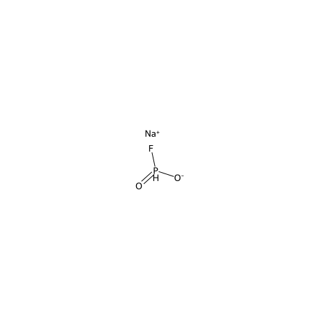 O=[PH]([O-])F.[Na+]